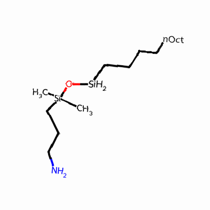 CCCCCCCCCCCC[SiH2]O[Si](C)(C)CCCN